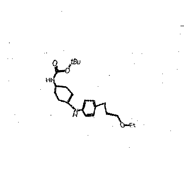 CCOCCCc1ccc(NC2CCC(NC(=O)OC(C)(C)C)CC2)cc1